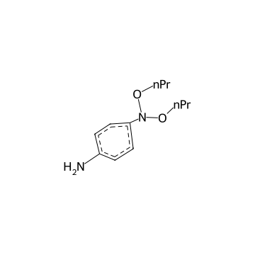 CCCON(OCCC)c1ccc(N)cc1